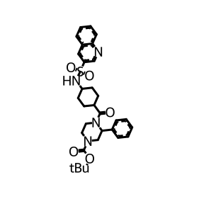 CC(C)(C)OC(=O)N1CCN(C(=O)C2CCC(NS(=O)(=O)c3cnc4ccccc4c3)CC2)C(c2ccccc2)C1